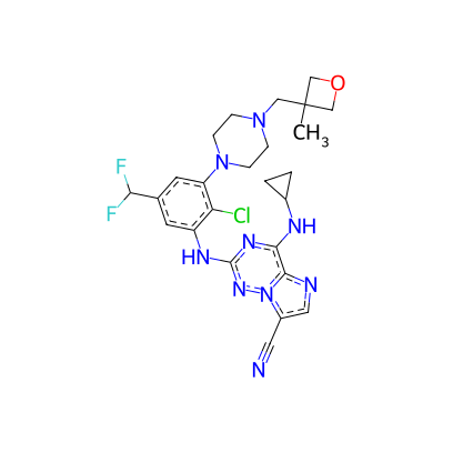 CC1(CN2CCN(c3cc(C(F)F)cc(Nc4nc(NC5CC5)c5ncc(C#N)n5n4)c3Cl)CC2)COC1